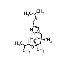 CC(C)COC(C)(C)CC(C)(C)Cn1cc(CSC(C)C)nn1